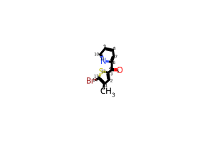 Cc1cc(C(=O)c2ccccn2)sc1Br